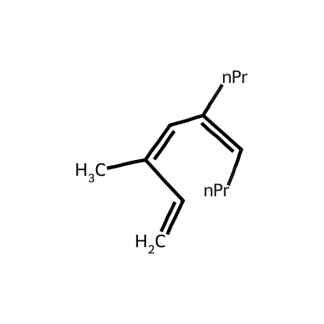 [CH2]CCC(C=C(C)C=C)=CCCC